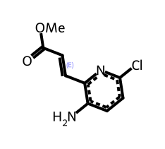 COC(=O)/C=C/c1nc(Cl)ccc1N